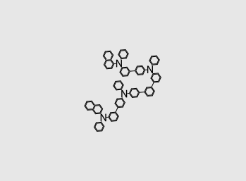 c1ccc(N(c2ccc(-c3cccc(-c4cccc(N(c5ccccc5)c5ccc(-c6cccc(N(c7ccccc7)c7cccc8ccccc78)c6)cc5)c4)c3)cc2)c2ccc(-c3cccc(N(c4ccccc4)c4ccc5ccccc5c4)c3)cc2)cc1